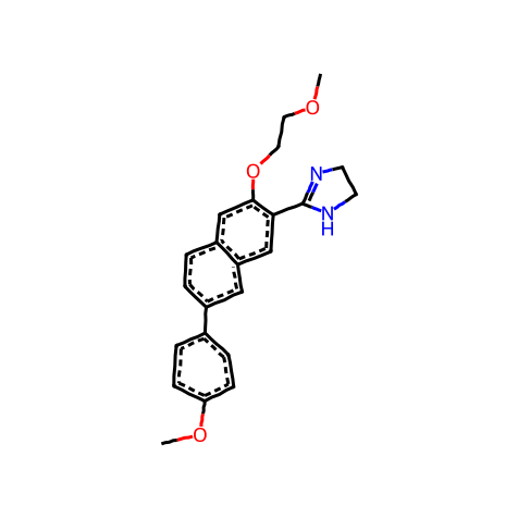 COCCOc1cc2ccc(-c3ccc(OC)cc3)cc2cc1C1=NCCN1